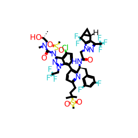 C[C@@H](O)CN(C)C(=O)N(c1nn(CC(F)(F)F)c2c(-c3ccc(CCC(C)(C)S(C)(=O)=O)nc3[C@H](Cc3cc(F)cc(F)c3)NC(=O)Cn3nc(C(F)(F)F)c4c3C(F)(F)C3C[C@H]43)ccc(Cl)c12)S(C)(=O)=O